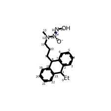 CCC1c2ccccc2C(CCCN(C)/[N+]([O-])=N/O)c2ccccc21